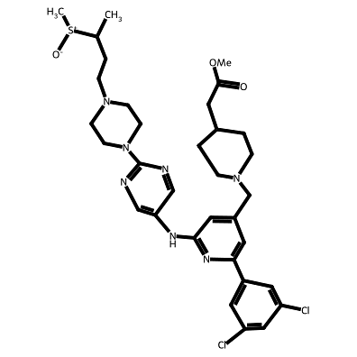 COC(=O)CC1CCN(Cc2cc(Nc3cnc(N4CCN(CCC(C)[S+](C)[O-])CC4)nc3)nc(-c3cc(Cl)cc(Cl)c3)c2)CC1